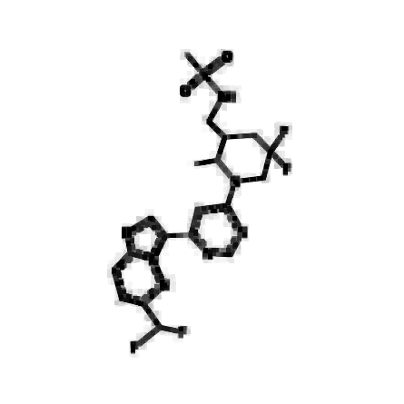 CC1C(CNS(C)(=O)=O)CC(F)(F)CN1c1cc(-c2cnc3ccc(C(F)F)nn23)ncn1